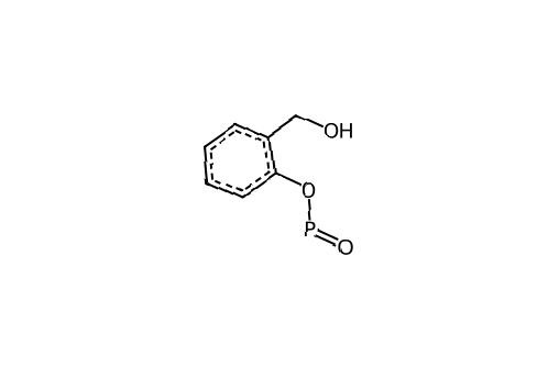 O=POc1ccccc1CO